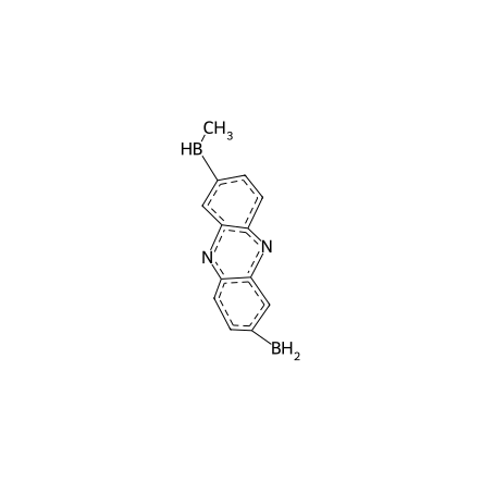 Bc1ccc2nc3cc(BC)ccc3nc2c1